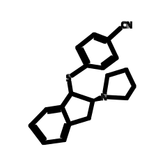 N#Cc1ccc(SC2c3ccccc3C[C@@H]2N2CCCC2)cc1